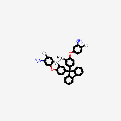 CCc1ccc(Oc2ccc(C3(c4ccc(Oc5ccc(CC)c(N)c5)c(C)c4)c4ccccc4-c4ccccc43)cc2C)cc1N